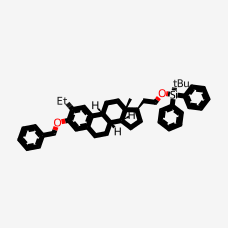 CCc1cc2c(cc1OCc1ccccc1)CC[C@@H]1[C@@H]2CC[C@]2(C)[C@@H](CCO[Si](c3ccccc3)(c3ccccc3)C(C)(C)C)CC[C@@H]12